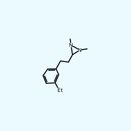 CCc1cccc(CCC2N(C)N2C)c1